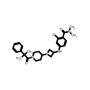 CN(C)C(=O)c1ccc(NC2CN(C3CCN(C(=O)C(C)(C)c4ccccc4)CC3)C2)cc1Cl